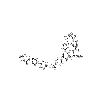 COc1cc(C(=O)NC2CCN(C(=O)CCN3CCN(c4ccc(N5CCC(=O)NC5=O)cc4)CC3)CC2)ccc1Nc1ncc2c(n1)N(C1CCCC1)CC(F)(F)C(=O)N2C